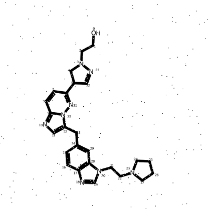 OCCN1CC(c2ccc3ncc(Cc4ccc5ncn(CCN6CCCC6)c5c4)n3n2)C=N1